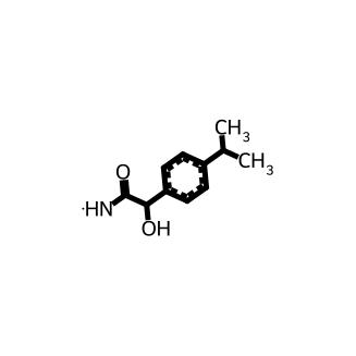 CC(C)c1ccc(C(O)C([NH])=O)cc1